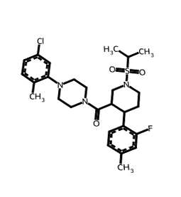 Cc1ccc(C2CCN(S(=O)(=O)C(C)C)CC2C(=O)N2CCN(c3cc(Cl)ccc3C)CC2)c(F)c1